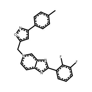 Cc1ccc(-c2cc(Cn3ccc4nc(-c5cccc(F)c5F)nc-4c3)on2)cc1